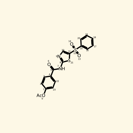 CC(=O)Oc1ccc(C(=O)Nc2ncc(S(=O)(=O)c3ccccc3)s2)cc1